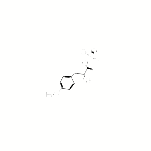 N[C@@H](Cc1ccc(O)cc1)C(=O)OS(=O)(=O)F